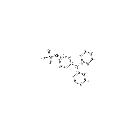 CS(=O)(=O)[O-].c1ccc([S+](c2ccccc2)c2ccccc2)cc1